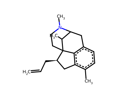 C=CC[C@@H]1Cc2c(C)ccc3c2C12CCN(C)C(C3)C2C